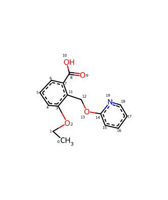 CCOc1cccc(C(=O)O)c1COc1ccccn1